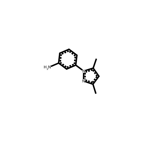 Cc1cc(C)n(-c2cccc(N)c2)n1